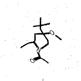 COC1(C(C)(C)C)CC(C)N(C(C)=O)C1